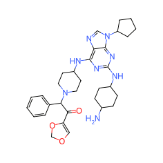 NC1CCC(Nc2nc(NC3CCN(C(C(=O)C4=COCO4)c4ccccc4)CC3)c3ncn(C4CCCC4)c3n2)CC1